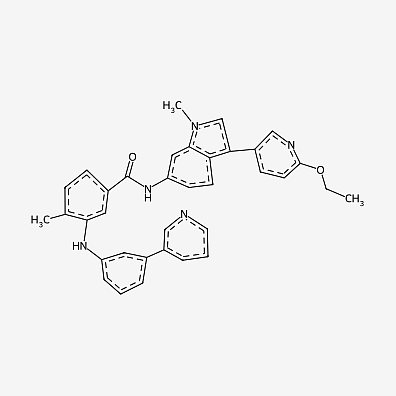 CCOc1ccc(-c2cn(C)c3cc(NC(=O)c4ccc(C)c(Nc5cccc(-c6cccnc6)c5)c4)ccc23)cn1